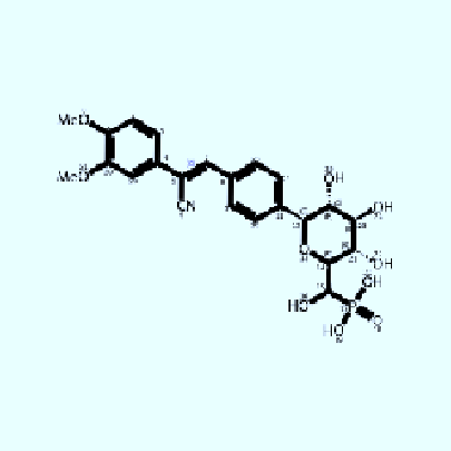 COc1ccc(/C(C#N)=C/c2ccc([C@@H]3O[C@H](C(O)P(=O)(O)O)[C@@H](O)[C@H](O)[C@H]3O)cc2)cc1OC